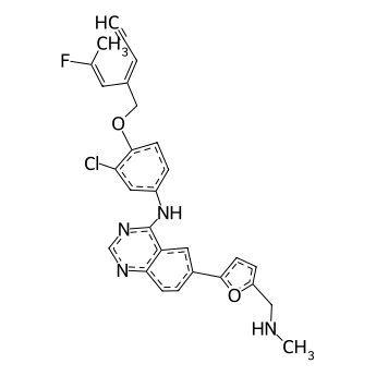 C#C/C=C(\C=C(/C)F)COc1ccc(Nc2ncnc3ccc(-c4ccc(CNC)o4)cc23)cc1Cl